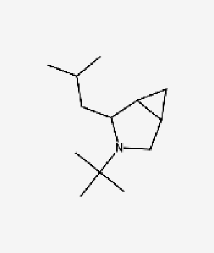 CC(C)CC1C2CC2CN1C(C)(C)C